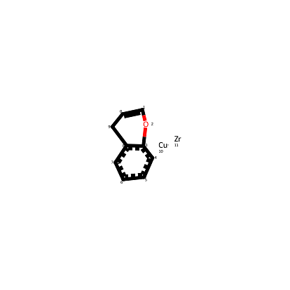 C1=COc2ccccc2C1.[Cu].[Zr]